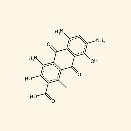 Cc1c(C(=O)O)c(O)c(N)c2c1C(=O)c1c(O)c(N)cc(N)c1C2=O